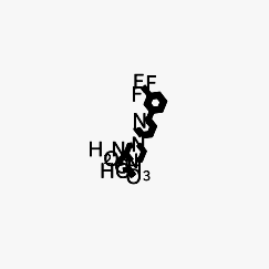 CC(=O)C1(N)CN(c2ccc(-c3cccc(C(F)(F)F)c3)nc2)CCN1C(=O)O